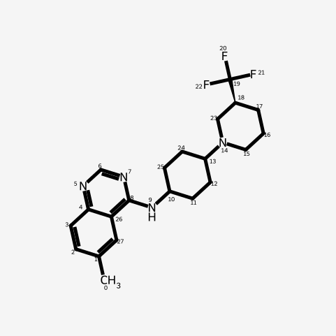 Cc1ccc2ncnc(NC3CCC(N4CCC[C@H](C(F)(F)F)C4)CC3)c2c1